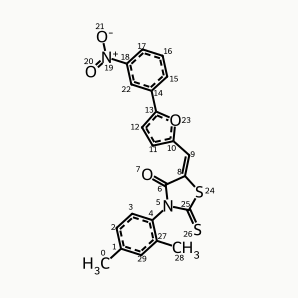 Cc1ccc(N2C(=O)/C(=C\c3ccc(-c4cccc([N+](=O)[O-])c4)o3)SC2=S)c(C)c1